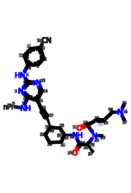 CCCNc1nc(Nc2ccc(C#N)cc2)ncc1C#C[C@@H]1CCC[C@H](NC(=O)[C@H](C)N(C)C(=O)/C=C/CN(C)C)C1